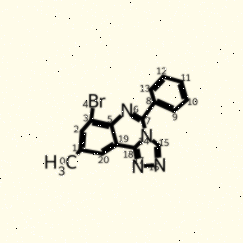 Cc1cc(Br)c2nc(-c3ccccc3)n3cnnc3c2c1